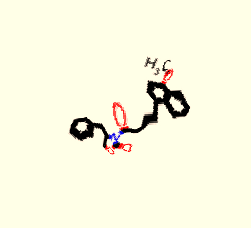 COc1ccc(CCCC(=O)N2C(=O)OCC2Cc2ccccc2)c2ccccc12